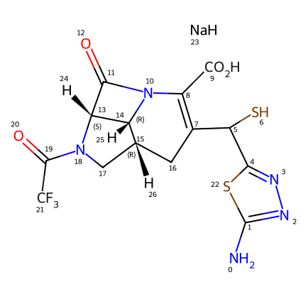 Nc1nnc(C(S)C2=C(C(=O)O)N3C(=O)[C@@H]4[C@H]3[C@H](C2)CN4C(=O)C(F)(F)F)s1.[NaH]